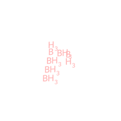 B.B.B.B.B.B